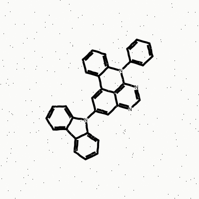 c1ccc(N2c3ccccc3-c3cc(-n4c5ccccc5c5ccccc54)cc4ncnc2c34)cc1